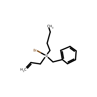 C=CC[Si](Br)(CCCC)Cc1ccccc1